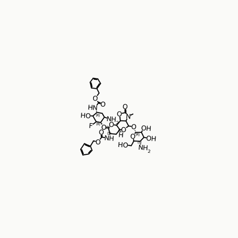 CN1C(=O)OC2C3O[C@H](O[C@@H]4C(N)C[C@@H](NC(=O)OCc5ccccc5)C(O)C4F)[C@@H](NC(=O)OCc4ccccc4)C[C@@H]3OC(O[C@H]3OC(CO)[C@@H](N)C(O)C3O)C21